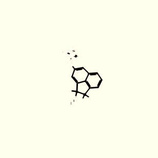 CC1(C)c2cccc3cc(OS(=O)(=O)C(F)(F)F)cc(c23)C1(C)C